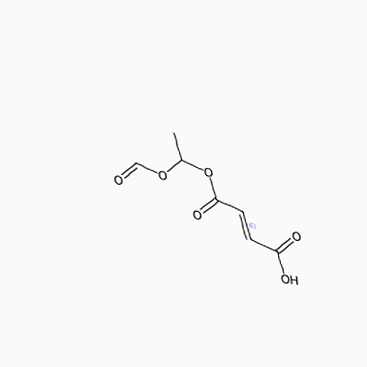 CC(OC=O)OC(=O)/C=C/C(=O)O